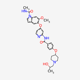 CNC(=O)n1ccc2cc(Oc3ccnc(NC(=O)c4ccc(OC5CCN(CC(C)O)CC5)cc4)c3)c(OC)cc21